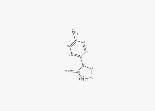 Cc1ccc(N2CCNC2=O)nc1